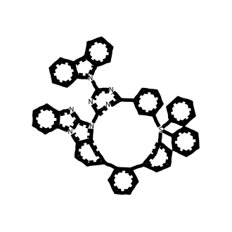 c1ccc(S2(c3ccccc3)c3cccc(c3)-c3nc(-n4c5ccccc5c5ccccc54)nc(n3)-n3c4cc(ccc4n4c5ccccc5nc34)-c3ccccc3-c3cccc2c3)cc1